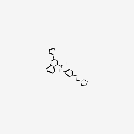 C=C(Nc1ccc(CCN2CCCC2)cc1)c1cc(-c2ccco2)nc2ccccc12